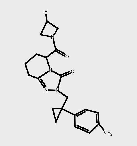 O=C(C1CCCc2nn(CC3(c4ccc(C(F)(F)F)cc4)CC3)c(=O)n21)N1CC(F)C1